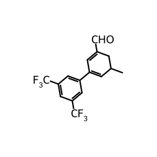 CC1C=C(c2cc(C(F)(F)F)cc(C(F)(F)F)c2)C=C(C=O)C1